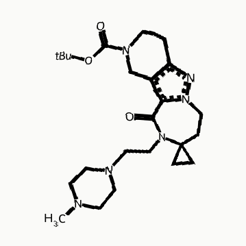 CN1CCN(CCN2C(=O)c3c4c(nn3CCC23CC3)CCN(C(=O)OC(C)(C)C)C4)CC1